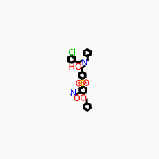 CN(C)C(=O)c1cc(S(=O)(=O)c2ccc(CCN(Cc3ccccc3)C[C@H](O)c3cccc(Cl)c3)cc2)ccc1OCc1ccccc1